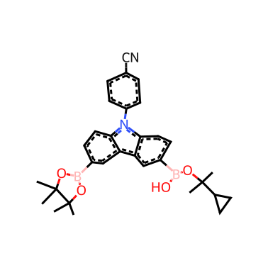 CC(C)(OB(O)c1ccc2c(c1)c1cc(B3OC(C)(C)C(C)(C)O3)ccc1n2-c1ccc(C#N)cc1)C1CC1